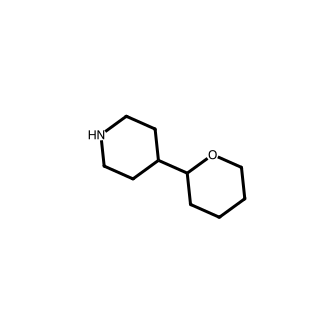 C1CCC(C2CCNCC2)OC1